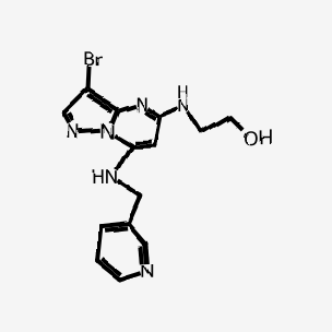 OCCNc1cc(NCc2cccnc2)n2ncc(Br)c2n1